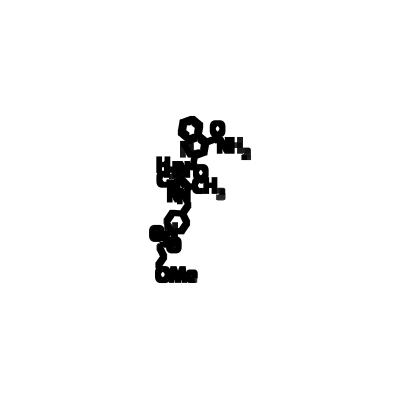 COCCCS(=O)(=O)N1CCC(Cn2nc(C)c(NC(=O)c3cc(C(N)=O)c4ccccc4n3)c2C)CC1